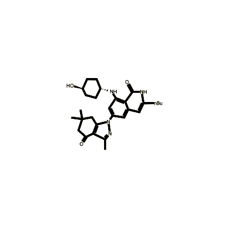 CCCCc1cc2cc(-n3nc(C)c4c3CC(C)(C)CC4=O)cc(N[C@H]3CC[C@H](O)CC3)c2c(=O)[nH]1